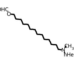 CCCCCCN(C)CCCCCCCCCCCCCCOC=O